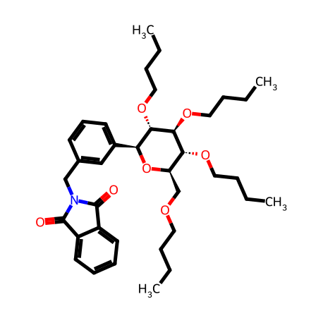 CCCCOC[C@H]1O[C@@H](c2cccc(CN3C(=O)c4ccccc4C3=O)c2)[C@H](OCCCC)[C@@H](OCCCC)[C@@H]1OCCCC